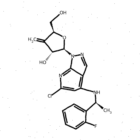 C=C1[C@@H](O)[C@H](n2ncc3c(N[C@@H](C)c4ccccc4F)cc(Cl)nc32)O[C@@H]1CO